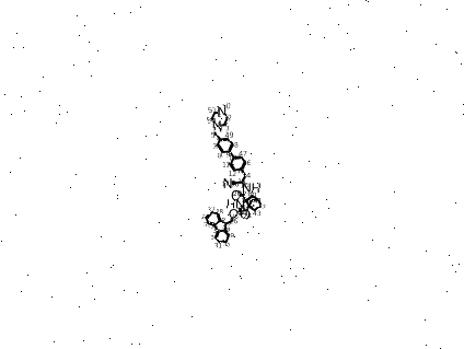 CN1CCN(Cc2ccc(-c3ccc(CC(C#N)NC(=O)C4(NC(=O)OCC5c6ccccc6-c6ccccc65)CC5CC[C@H]4C5)cc3)cc2)CC1